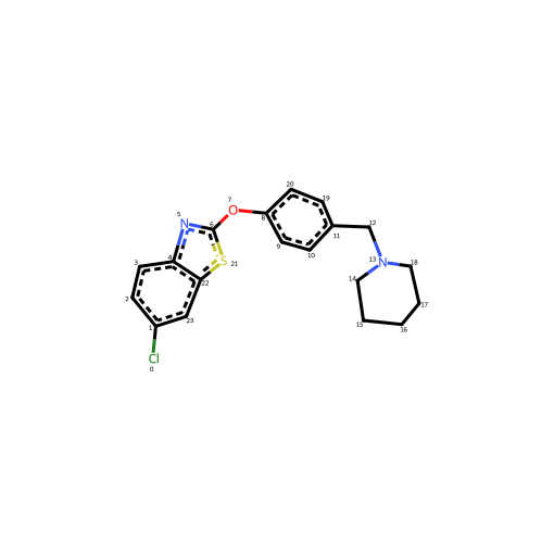 Clc1ccc2nc(Oc3ccc(CN4CCCCC4)cc3)sc2c1